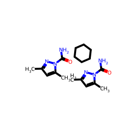 C1CCCCC1.Cc1cc(C)n(C(N)=O)n1.Cc1cc(C)n(C(N)=O)n1